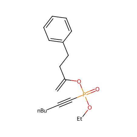 C=C(CCc1ccccc1)OP(=O)(C#CCCCC)OCC